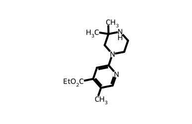 CCOC(=O)c1cc(N2CCNC(C)(C)C2)ncc1C